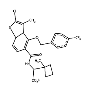 CC1=C(Cl)SC2C=CC(C(=O)NC(C(=O)O)C3(C)CCC3)=C(OCc3ccc(C(F)(F)F)cc3)C12